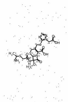 CO[C@@]1(NC(=O)CSC(C)N)C(=O)N2C(C(=O)O)=C(CSc3nnnn3CC(=O)O)CS[C@@H]21